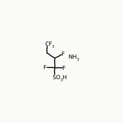 N.O=S(=O)(O)C(F)(F)C(F)CC(F)(F)F